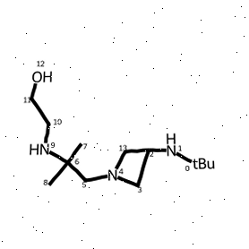 CC(C)(C)NC1CN(CC(C)(C)NCCO)C1